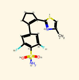 Cc1csc(C2=C(c3cc(F)c(S(N)(=O)=O)c(F)c3)CCC2)n1